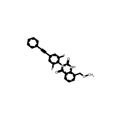 COCc1cccc2c(=O)n(-c3c(F)cc(C#Cc4ccccc4)cc3F)c(=O)[nH]c12